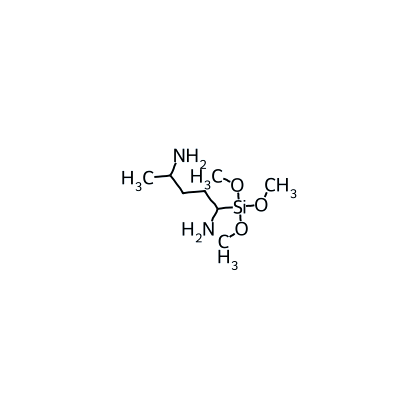 CO[Si](OC)(OC)C(N)CCC(C)N